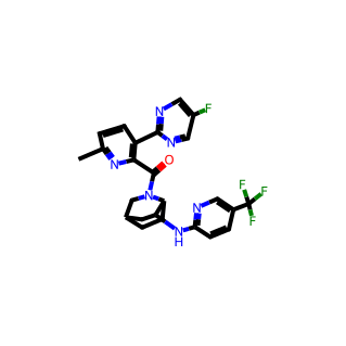 Cc1ccc(-c2ncc(F)cn2)c(C(=O)N2CC3CCC2C(Nc2ccc(C(F)(F)F)cn2)C3)n1